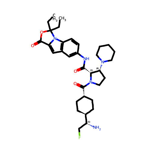 CCC1(CC)OC(=O)c2cc3cc(NC(=O)[C@@H]4[C@H](N5CCCCC5)CCN4C(=O)[C@H]4CC[C@H]([C@H](N)CF)CC4)ccc3n21